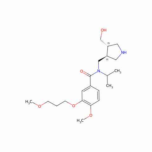 COCCCOc1cc(C(=O)N(C[C@@H]2CNC[C@H]2CO)C(C)C)ccc1OC